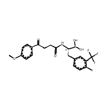 COc1ccc(C(=O)CCC(=O)N[C@@H](Cc2ccc(F)c(C(F)(F)F)c2)B(O)O)cc1